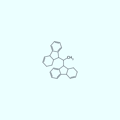 CC(C1c2ccccc2C2C=CCCC21)C1c2ccccc2C2C=CCCC21